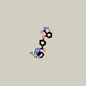 C[C@H]1[C@H](NC(=O)c2ccc(Oc3ccccc3C(N)=O)cc2)C2CCN1CC2